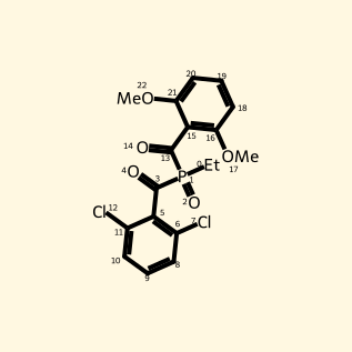 CCP(=O)(C(=O)c1c(Cl)cccc1Cl)C(=O)c1c(OC)cccc1OC